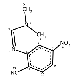 CN(C)/C=N\c1cc([N+](=O)[O-])ccc1C#N